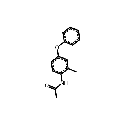 CC(=O)Nc1ccc(Oc2ccccc2)cc1C